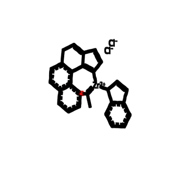 C[C](C)=[Zr+2]([C]1=C2C(=CCc3ccc4ccccc4c32)C=C1)[CH]1C=Cc2ccccc21.[Cl-].[Cl-]